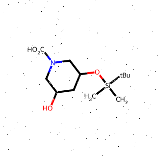 CC(C)(C)[Si](C)(C)OC1CC(O)CN(C(=O)O)C1